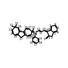 C=C1Cc2ccccc2/C1=C/C=C/N(c1ccccc1)C1(C)C=CC2=C(C=C1)C1=CC(C)(C)C=CC=C1C2